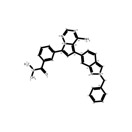 CN(C)C(=O)c1cccc(-c2cc(-c3ccc4cn(Cc5ccccc5)nc4c3)c3c(N)ncnn23)c1